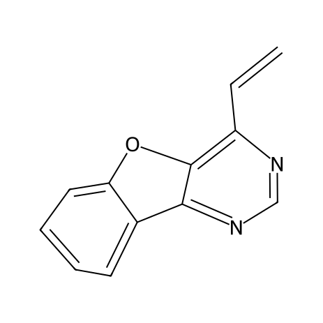 C=Cc1ncnc2c1oc1ccccc12